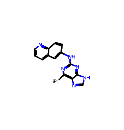 CC(C)c1nc(Nc2ccc3ncccc3c2)nc2[nH]cnc12